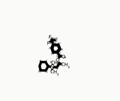 CC(C[N+](C)(C)C1CCCCC1)OC(=O)c1ccc(C(F)(F)F)cc1